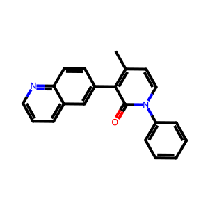 Cc1ccn(-c2ccccc2)c(=O)c1-c1ccc2ncccc2c1